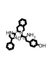 N[C@@H](Cc1ccc(O)cc1)C(=O)N1Cc2ccccc2C[C@H]1C1=NC(c2ccccc2)CN1